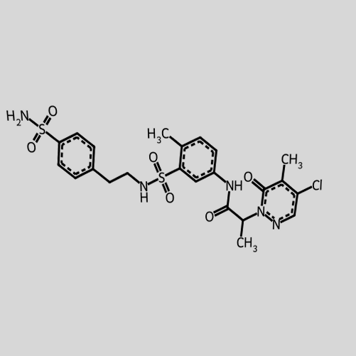 Cc1ccc(NC(=O)C(C)n2ncc(Cl)c(C)c2=O)cc1S(=O)(=O)NCCc1ccc(S(N)(=O)=O)cc1